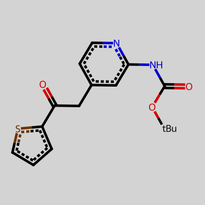 CC(C)(C)OC(=O)Nc1cc(CC(=O)c2cccs2)ccn1